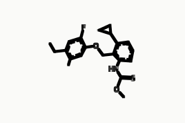 CCc1cc(F)c(OCc2c(NC(=S)OC)cccc2C2CC2)cc1C